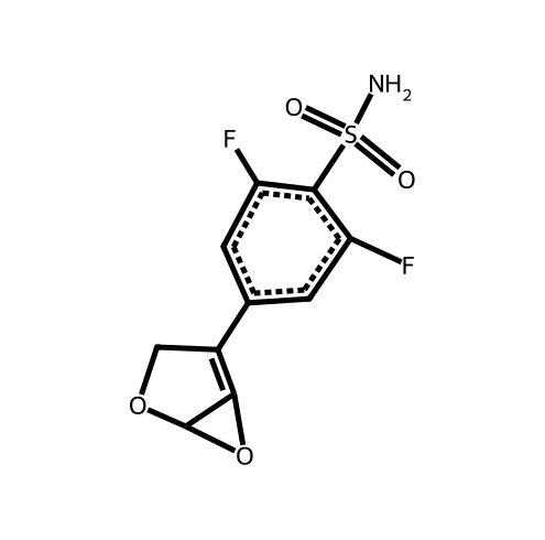 NS(=O)(=O)c1c(F)cc(C2=C3OC3OC2)cc1F